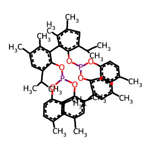 Cc1ccc(OP(Oc2ccc(C)cc2C)Oc2c(C(C)C)cc(C)c(C)c2-c2c(C)c(C)cc(C(C)C)c2OP(Oc2ccc(C)cc2C)Oc2ccc(C)cc2C)cc1